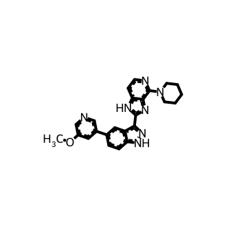 COc1cncc(-c2ccc3[nH]nc(-c4nc5c(N6CCCCC6)nccc5[nH]4)c3c2)c1